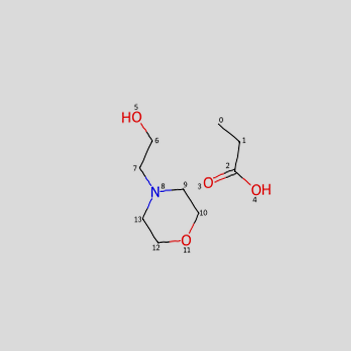 CCC(=O)O.OCCN1CCOCC1